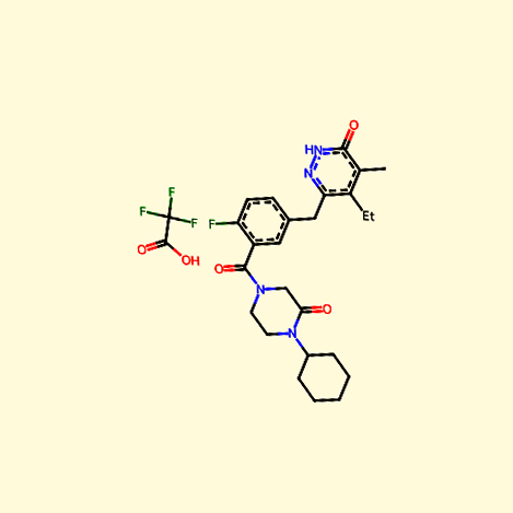 CCc1c(Cc2ccc(F)c(C(=O)N3CCN(C4CCCCC4)C(=O)C3)c2)n[nH]c(=O)c1C.O=C(O)C(F)(F)F